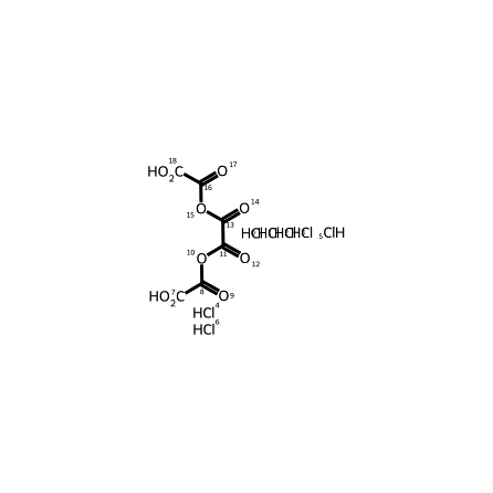 Cl.Cl.Cl.Cl.Cl.Cl.Cl.O=C(O)C(=O)OC(=O)C(=O)OC(=O)C(=O)O